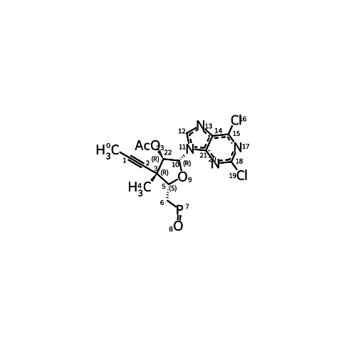 CC#C[C@@]1(C)[C@@H](CP=O)O[C@@H](n2cnc3c(Cl)nc(Cl)nc32)[C@@H]1OC(C)=O